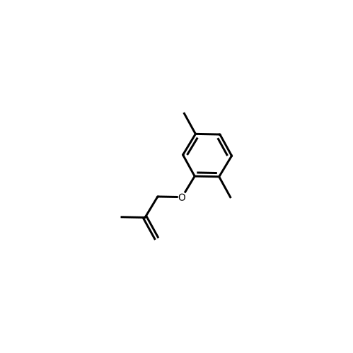 C=C(C)COc1cc(C)ccc1C